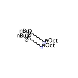 CCCCCCCC/C=C\CCCCCCCC(=O)OCCCC.CCCCCCCC/C=C\CCCCCCCC(=O)OCCCC